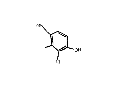 CCCCc1ccc(O)c(Cl)c1C